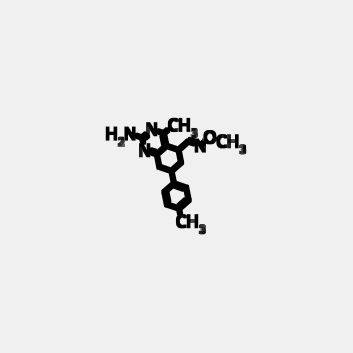 CON=CC1CC(c2ccc(C)cc2)Cc2nc(N)nc(C)c21